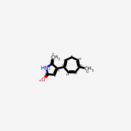 C=C1NC(=O)C=C1C1=CCC=C(C)C=C1